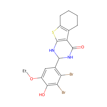 CCOc1cc(C2NC(=O)c3c(sc4c3CCCC4)N2)c(Br)c(Br)c1O